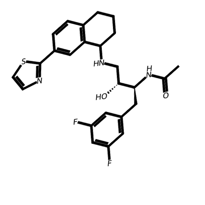 CC(=O)N[C@@H](Cc1cc(F)cc(F)c1)[C@H](O)CNC1CCCc2ccc(-c3nccs3)cc21